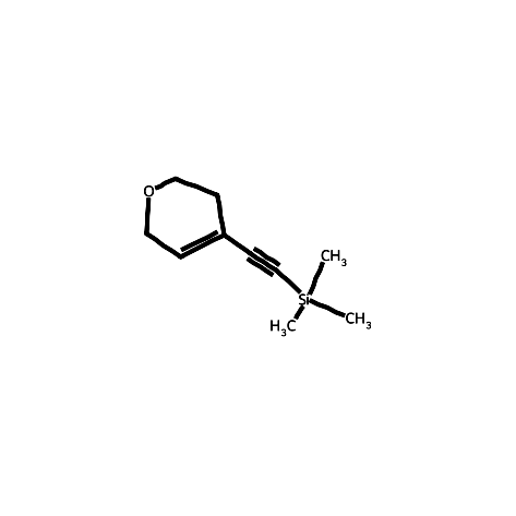 C[Si](C)(C)C#CC1=CCOCC1